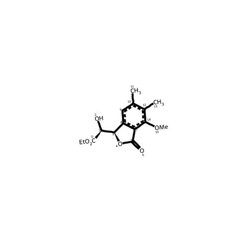 CCOC(=O)[C@@H](O)[C@@H]1OC(=O)c2c1cc(C)c(C)c2OC